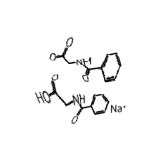 O=C(O)CNC(=O)c1ccccc1.O=C([O-])CNC(=O)c1ccccc1.[Na+]